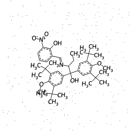 CCC(N=Cc1cccc([N+](=O)[O-])c1O)C(O)(c1cc(C(C)(C)C)c(OC)c(C(C)(C)C)c1)c1cc(C(C)(C)C)c(OC)c(C(C)(C)C)c1